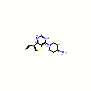 C=Cc1csc2c(N3CCC(N)CC3)ncnc12